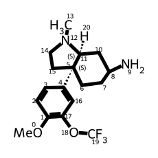 COc1ccc([C@@]23CCC(N)C[C@@H]2N(C)CC3)cc1OC(F)(F)F